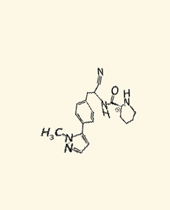 Cn1nccc1-c1ccc(CC(C#N)NC(=O)[C@@H]2CCCCN2)cc1